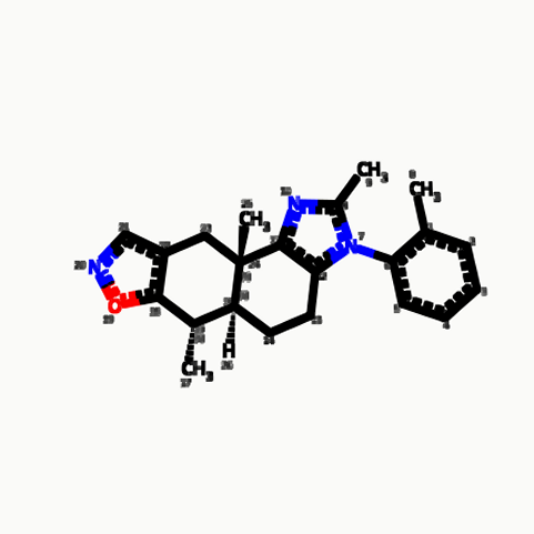 Cc1ccccc1-n1c(C)nc2c1CC[C@H]1[C@H](C)c3oncc3C[C@]21C